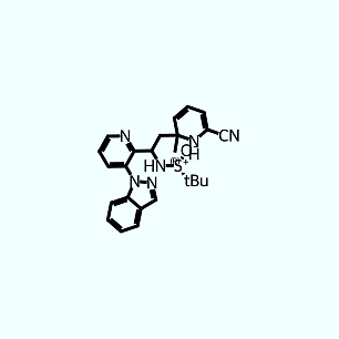 CC1(CC(N[S@@+]([O-])C(C)(C)C)c2ncccc2-n2ncc3ccccc32)C=CC=C(C#N)N1